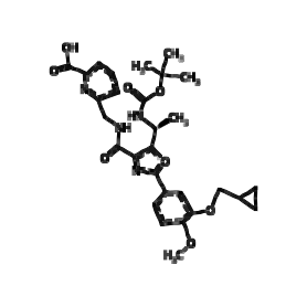 COc1ccc(-c2nc(C(=O)NCc3cccc(C(=O)O)n3)c([C@H](C)NC(=O)OC(C)(C)C)o2)cc1OCC1CC1